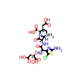 Nc1nc(/C(=N/O[C@H](CC(=O)O)C(=O)O)C(=O)N[C@@H]2C(=O)N3[C@@H]2[SiH2]C[C@H](CC(=O)O)[C@H]3C(=O)O)c(Cl)s1